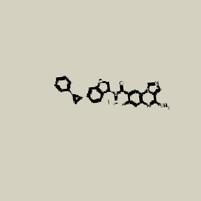 CN(C(=O)c1cc2c(cc1F)nc(N)c1cncn12)[C@@H]1COc2cc([C@@H]3C[C@H]3c3ccccc3)ccc21